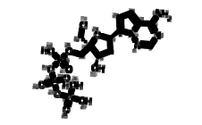 Nc1ncnn2c([C@H]3C[C@H](O)[C@@](CCl)(COP(=O)(O)OP(=O)(O)OP(=O)(O)O)O3)ccc12